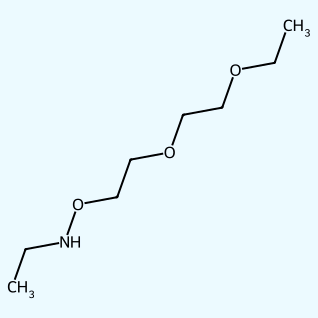 CCNOCCOCCOCC